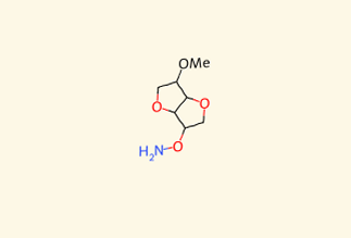 COC1COC2C(ON)COC12